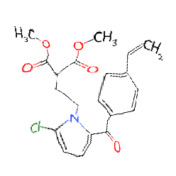 C=Cc1ccc(C(=O)c2ccc(Cl)n2CCC(C(=O)OC)C(=O)OC)cc1